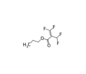 CCCOC(=O)C(=C(F)F)C(F)F